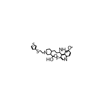 COc1ccc2ncc(F)c([C@H](N)CCC3CCN(CCSc4ccsc4)CC3C(=O)O)c2c1